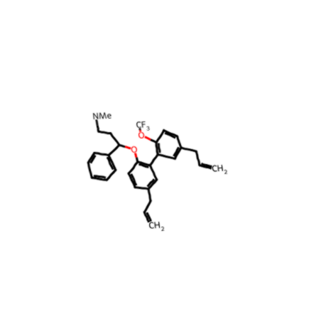 C=CCc1ccc(OC(CCNC)c2ccccc2)c(-c2cc(CC=C)ccc2OC(F)(F)F)c1